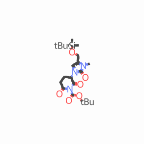 Cn1c(CO[Si](C)(C)C(C)(C)C)cn(C2CCC(=O)N(C(=O)OC(C)(C)C)C2=O)c1=O